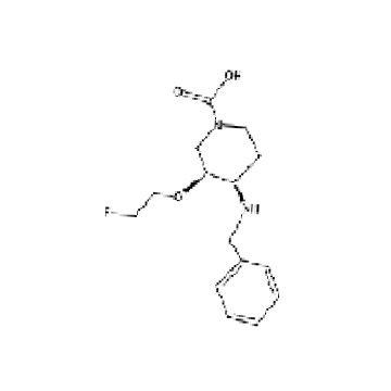 O=C(O)N1CC[C@@H](NCc2ccccc2)[C@@H](OCCF)C1